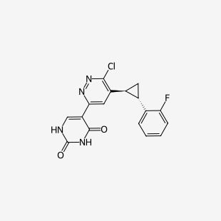 O=c1[nH]cc(-c2cc([C@H]3C[C@@H]3c3ccccc3F)c(Cl)nn2)c(=O)[nH]1